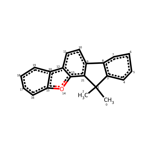 CC1(C)c2ccccc2-c2ccc3c(oc4ccccc43)c21